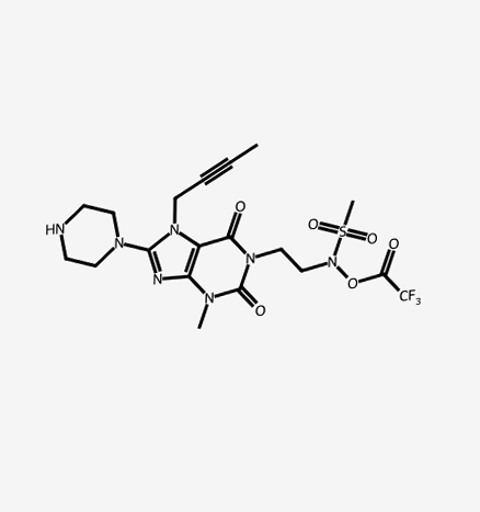 CC#CCn1c(N2CCNCC2)nc2c1c(=O)n(CCN(OC(=O)C(F)(F)F)S(C)(=O)=O)c(=O)n2C